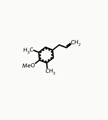 C=CCc1cc(C)c(OC)c(C)c1